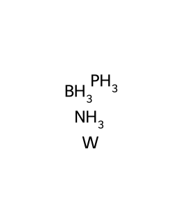 B.N.P.[W]